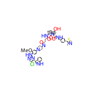 COc1cc(N2CCC(N(C)C(=O)CCC(=O)N[C@H](C(=O)N3C[C@H](O)C[C@H]3C(=O)NCc3ccc(-c4scnc4C)cc3)C(C)(C)C)CC2)ccc1Nc1ncc(Cl)c(-c2c[nH]c3ccccc23)n1